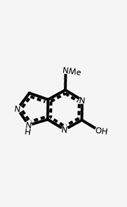 CNc1nc(O)nc2[nH]ncc12